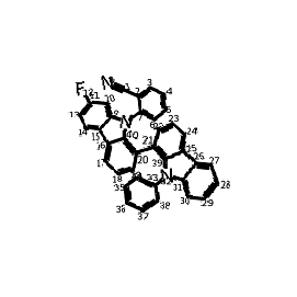 N#Cc1ccccc1-n1c2cc(F)ccc2c2cccc(-c3cccc4c5ccccc5n(-c5ccccc5)c34)c21